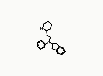 c1ccc(N(CC[C@H]2CCCCN2)C2Cc3ccccc3C2)cc1